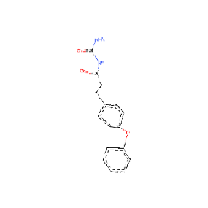 NC(=O)NC(=O)CCc1ccc(Oc2ccccc2)cc1